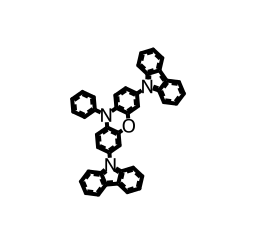 c1ccc(N2c3ccc(-n4c5ccccc5c5ccccc54)cc3Oc3cc(-n4c5ccccc5c5ccccc54)ccc32)cc1